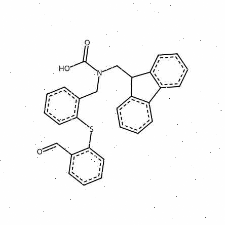 O=Cc1ccccc1Sc1ccccc1CN(CC1c2ccccc2-c2ccccc21)C(=O)O